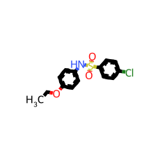 CCOc1ccc(NS(=O)(=O)c2ccc(Cl)cc2)cc1